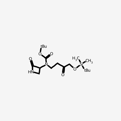 CC(C)(C)OC(=O)N(CCC(=O)CO[Si](C)(C)C(C)(C)C)C1CNC1=O